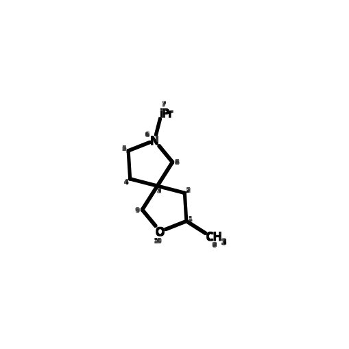 CC1CC2(CCN(C(C)C)C2)CO1